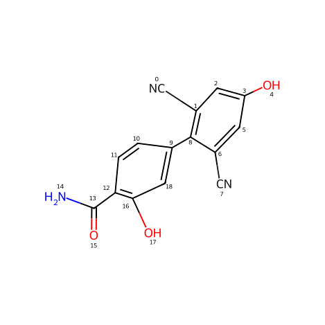 N#Cc1cc(O)cc(C#N)c1-c1ccc(C(N)=O)c(O)c1